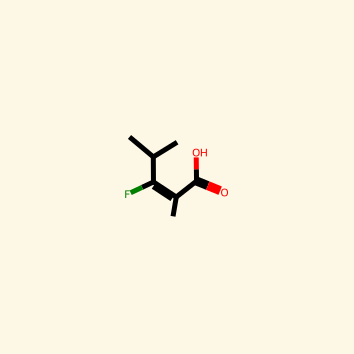 CC(C(=O)O)=C(F)C(C)C